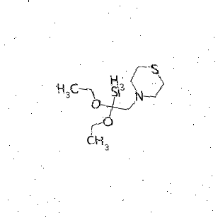 CCOC([SiH3])(CN1CCSCC1)OCC